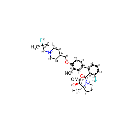 COC(=O)[C@]1(C)CCCN1C(=O)c1c(F)cccc1-c1ccc(OCC2CCN(CC(C)(C)F)CC2)c(C#N)c1